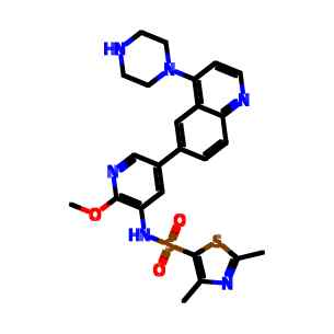 COc1ncc(-c2ccc3nccc(N4CCNCC4)c3c2)cc1NS(=O)(=O)c1sc(C)nc1C